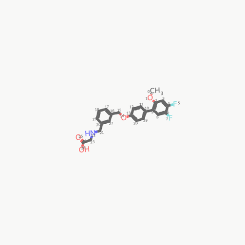 COc1cc(F)c(F)cc1-c1ccc(OCc2cccc(CNCC(=O)O)c2)cc1